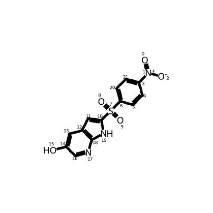 O=[N+]([O-])c1ccc(S(=O)(=O)c2cc3cc(O)cnc3[nH]2)cc1